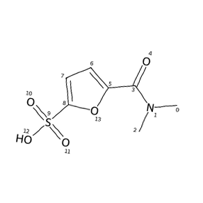 CN(C)C(=O)c1ccc(S(=O)(=O)O)o1